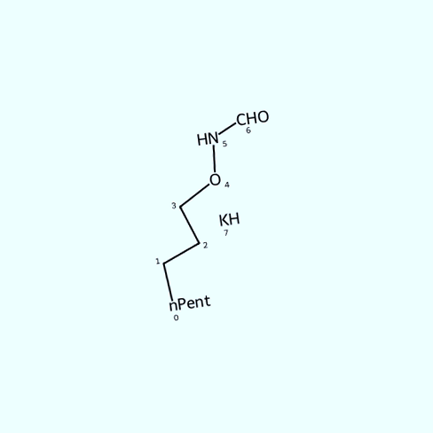 CCCCCCCCONC=O.[KH]